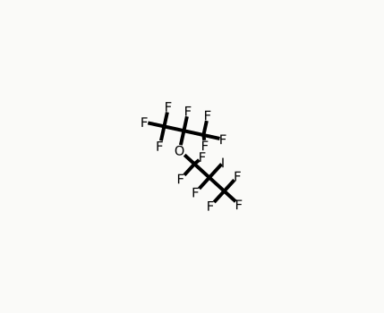 FC(F)(F)C(F)(I)C(F)(F)OC(F)(C(F)(F)F)C(F)(F)F